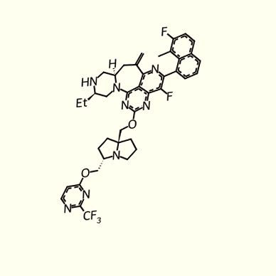 C=C1C[C@@H]2CN[C@H](CC)CN2c2nc(OC[C@@]34CCCN3[C@H](COc3ccnc(C(F)(F)F)n3)CC4)nc3c(F)c(-c4cccc5ccc(F)c(C)c45)nc1c23